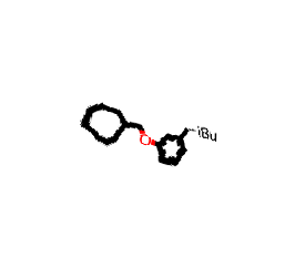 CC[C@@H](C)Cc1cccc(OCC2CCCCCC2)c1